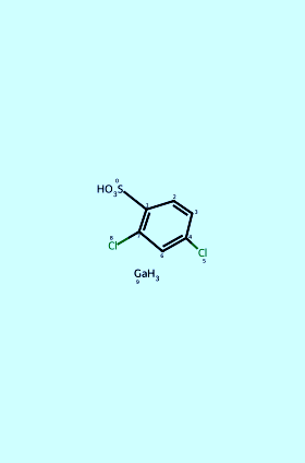 O=S(=O)(O)c1ccc(Cl)cc1Cl.[GaH3]